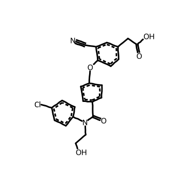 N#Cc1cc(CC(=O)O)ccc1Oc1ccc(C(=O)N(CCO)c2ccc(Cl)cc2)cc1